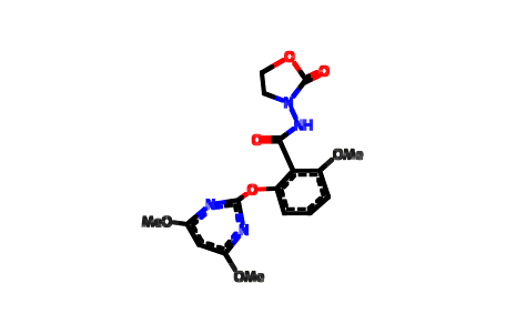 COc1cc(OC)nc(Oc2cccc(OC)c2C(=O)NN2CCOC2=O)n1